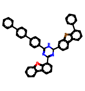 c1ccc(-c2ccc(-c3ccc(C4=NC(c5cccc6c5oc5ccccc56)=NC(c5ccc6c(c5)sc5c(-c7ccccc7)cccc56)N4)cc3)cc2)cc1